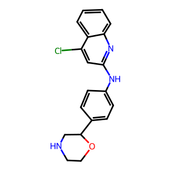 Clc1cc(Nc2ccc(C3CNCCO3)cc2)nc2ccccc12